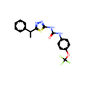 CC(c1ccccc1)c1nnc(NC(=O)Nc2ccc(OC(F)(F)F)cc2)s1